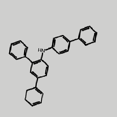 C1=CCCC(c2ccc(Nc3ccc(-c4ccccc4)cc3)c(-c3ccccc3)c2)=C1